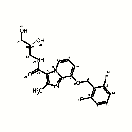 Cc1nc2c(OCc3c(F)cccc3F)cccn2c1C(=O)NC[C@@H](O)CO